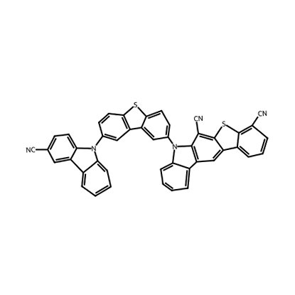 N#Cc1ccc2c(c1)c1ccccc1n2-c1ccc2sc3ccc(-n4c5ccccc5c5cc6c(sc7c(C#N)cccc76)c(C#N)c54)cc3c2c1